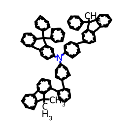 CC1(C)c2ccccc2-c2cccc(-c3ccccc3-c3ccc(N(c4ccc(-c5ccc6c(c5)C(C)(c5ccccc5)c5ccccc5-6)cc4)c4ccc5c(c4)C(c4ccccc4)(c4ccccc4)c4ccccc4-5)cc3)c21